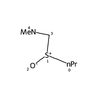 CCC[S+]([O-])CNC